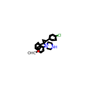 O=[C]c1ccc([N+]2(C3(c4ccccc4)CC3c3ccc(Cl)cc3)CCNCC2)cc1